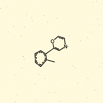 Cc1ccccc1C1=C[N]C=CO1